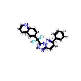 FC(F)(c1ccc2ncccc2c1)c1nnc2ccc(-c3ccccc3)nn12